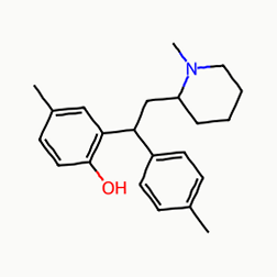 Cc1ccc(C(CC2CCCCN2C)c2cc(C)ccc2O)cc1